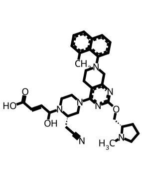 Cc1cccc2cccc(N3CCc4c(nc(OC[C@@H]5CCCN5C)nc4N4CCN(C(O)/C=C/C(=O)O)[C@@H](CC#N)C4)C3)c12